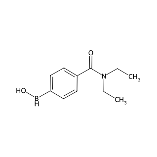 CCN(CC)C(=O)c1ccc(BO)cc1